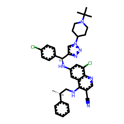 C[C@H](CNc1c(C#N)cnc2c(Cl)cc(N[C@@H](c3ccc(Cl)cc3)c3cn(C4CCN(C(C)(C)C)CC4)nn3)cc12)c1ccccc1